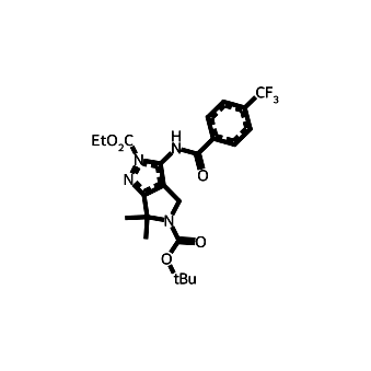 CCOC(=O)n1nc2c(c1NC(=O)c1ccc(C(F)(F)F)cc1)CN(C(=O)OC(C)(C)C)C2(C)C